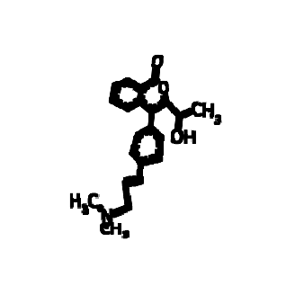 CC(O)c1oc(=O)c2ccccc2c1-c1ccc(C=CCN(C)C)cc1